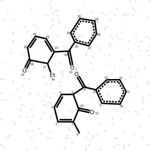 CC1=CC=CC(C(=O)c2ccccc2)C1=O.CCC1C(=O)C=CC=C1C(=O)c1ccccc1